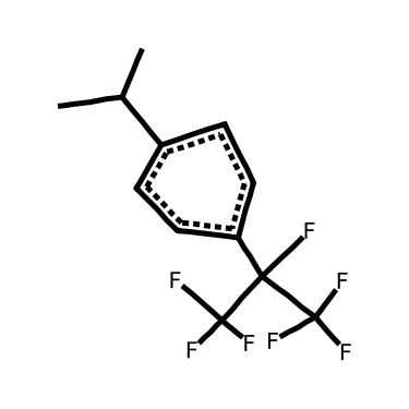 CC(C)c1ccc(C(F)(C(F)(F)F)C(F)(F)F)cc1